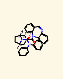 O=C(O)[C@@H]1[C@H]2CC[C@@H](CN1C(=O)N1c3ccccc3C=Nc3ccccc31)N2C(=O)N(c1ccccc1)c1ccccc1